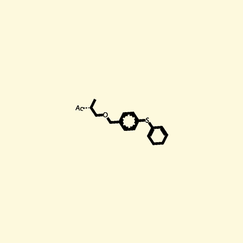 CC(=O)[C@H](C)COCc1ccc(SC2=CCCC=C2)cc1